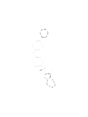 O=[N+]([O-])c1c(S(=O)(=O)N2CCN(CC3CCN(c4ccncc4)CC3)CC2)sc2ccccc12